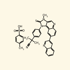 Cc1ccc(S(=O)(=O)O)cc1.Cn1c(=S)n(-c2ccc(C(C)(C)C#N)cc2)c2c3cc(-c4cnc5ccccc5c4)ccc3ncc21